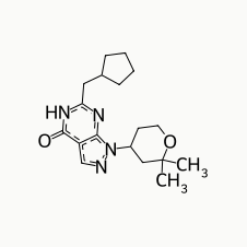 CC1(C)CC(n2ncc3c(=O)[nH]c(CC4CCCC4)nc32)CCO1